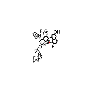 C#Cc1c(F)ccc2cc(O)cc(-c3c(SC(F)(F)F)cc4c(N5CC6CCC(C5)N6)nc(OCC5(CN6CCC7(C6)CC7(F)F)CC5)nc4c3F)c12